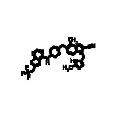 Cc1ncc(Cn2c(C#N)cc3c(C)c(CN4CCC(Nc5ncnc6sc(CC(F)(F)F)cc56)CC4)ccc32)[nH]1